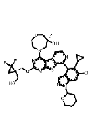 C[C@@]1(O)COCCN(c2nc(OC[C@]3(CO)CC3(F)F)nc3sc4c(-c5c(C6CC6)c(Cl)cc6c5cnn6C5CCCCO5)nccc4c23)C1